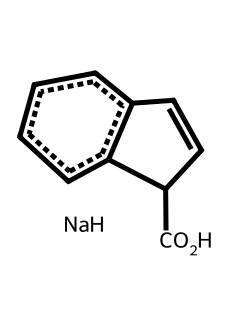 O=C(O)C1C=Cc2ccccc21.[NaH]